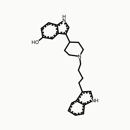 Oc1ccc2[nH]cc(C3CCN(CCCCc4c[nH]c5ccccc45)CC3)c2c1